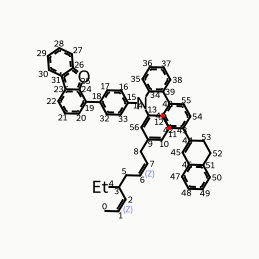 C/C=C\C(CC)C/C=C\CC1=CCCC(N(c2ccc(-c3cccc4c3oc3ccccc34)cc2)c2ccccc2-c2ccc(C3=Cc4ccccc4CC3)cc2)=C1